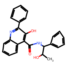 CC(O)C(NC(=O)c1c(O)c(-c2ccccc2)nc2ccccc12)c1ccccc1